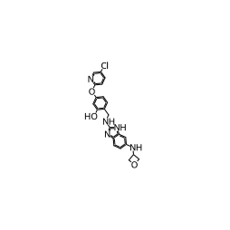 Oc1cc(Oc2ccc(Cl)cn2)ccc1CNc1nc2ccc(NC3COC3)cc2[nH]1